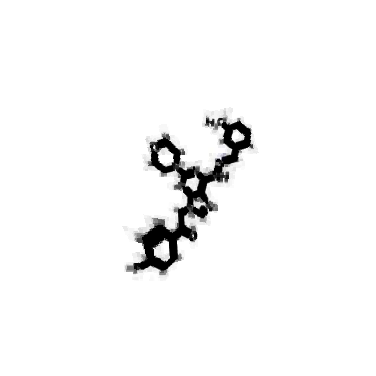 Cc1cccc(/C=N/Nc2nc(N3CCOCC3)nc3c2ncn3CC(=O)c2ccc(F)cc2)c1